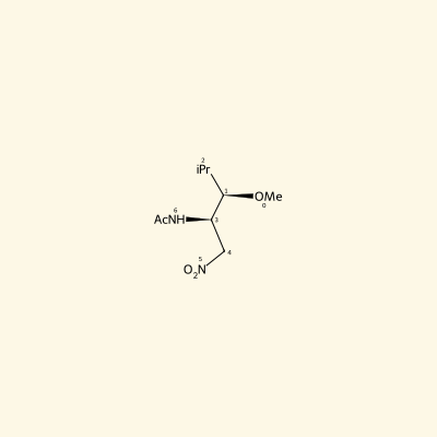 CO[C@H](C(C)C)[C@@H](C[N+](=O)[O-])NC(C)=O